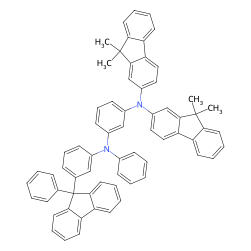 CC1(C)c2ccccc2-c2ccc(N(c3cccc(N(c4ccccc4)c4cccc(C5(c6ccccc6)c6ccccc6-c6ccccc65)c4)c3)c3ccc4c(c3)C(C)(C)c3ccccc3-4)cc21